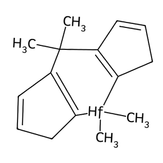 CC1(C)C2=[C](CC=C2)[Hf]([CH3])([CH3])[C]2=C1C=CC2